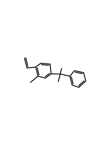 C=Cc1ccc(C(C)(C)c2ccccc2)cc1C